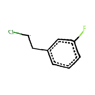 Fc1cccc(C[CH]Cl)c1